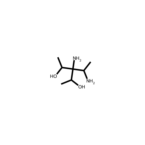 CC(N)C(N)(C(C)O)C(C)O